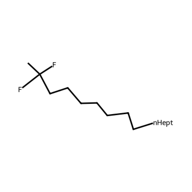 [CH2]CCCCCCCCCCCCCC(C)(F)F